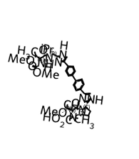 COC(=O)N[C@H](C(=O)N[C@@H](c1nc(-c2ccc(-c3ccc(-c4c[nH]c([C@@H]5CCCN5C(=O)[C@H]([C@@H](C)OC)N(C)C(=O)O)n4)cc3)cc2)c[nH]1)C(C)C)C(C)OC